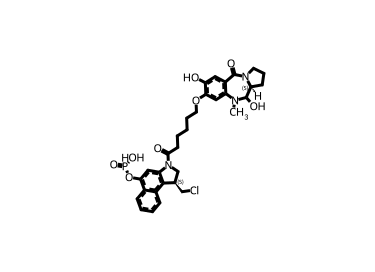 CN1c2cc(OCCCCCC(=O)N3C[C@@H](CCl)c4c3cc(O[PH](=O)O)c3ccccc43)c(O)cc2C(=O)N2CCC[C@H]2C1O